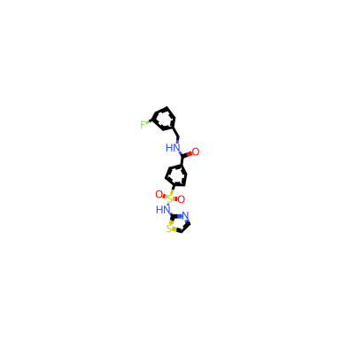 O=C(NCc1cccc(F)c1)c1ccc(S(=O)(=O)Nc2nccs2)cc1